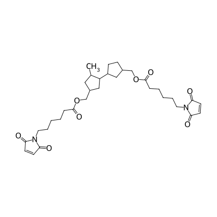 CC1CC(COC(=O)CCCCCN2C(=O)C=CC2=O)CC1C1CCC(COC(=O)CCCCCN2C(=O)C=CC2=O)C1